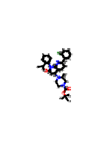 CC(C)c1ccccc1-n1c(=O)cc(N2CCN(C(=O)OC(C)(C)C)CC2C)c2ccc(-c3ccccc3F)nc21